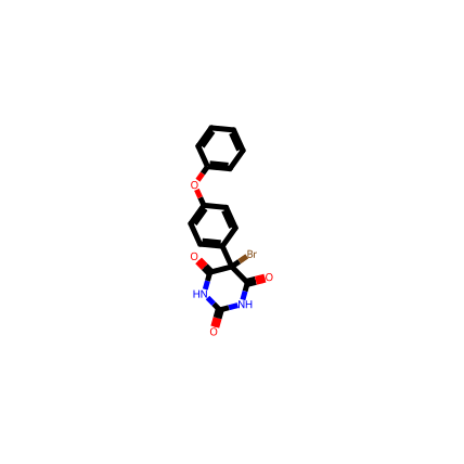 O=C1NC(=O)C(Br)(c2ccc(Oc3ccccc3)cc2)C(=O)N1